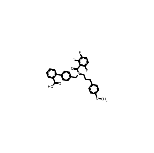 COc1ccc(CCCN(Cc2ccc(-c3ccccc3C(=O)O)cc2)C(=O)c2c(F)ccc(F)c2F)cc1